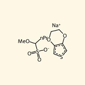 CCCC(OC)S(=O)(=O)[O-].[Na+].c1scc2c1OCCO2